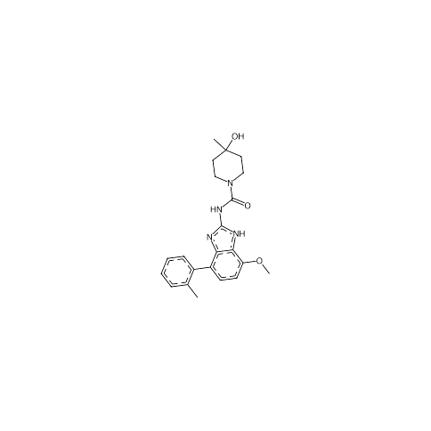 COc1ccc(-c2ccccc2C)c2nc(NC(=O)N3CCC(C)(O)CC3)[nH]c12